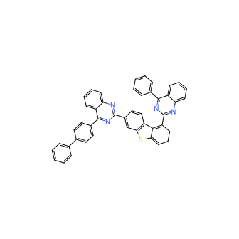 C1=c2sc3cc(-c4nc(-c5ccc(-c6ccccc6)cc5)c5ccccc5n4)ccc3c2=C(c2nc(-c3ccccc3)c3ccccc3n2)CC1